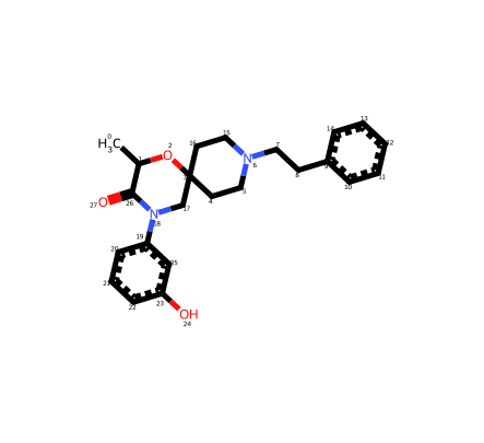 CC1OC2(CCN(CCc3ccccc3)CC2)CN(c2cccc(O)c2)C1=O